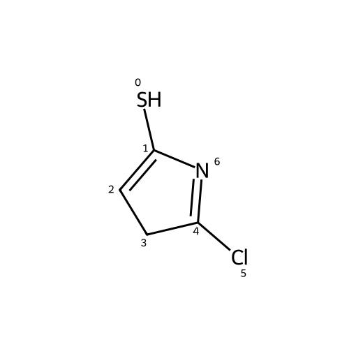 SC1=CCC(Cl)=N1